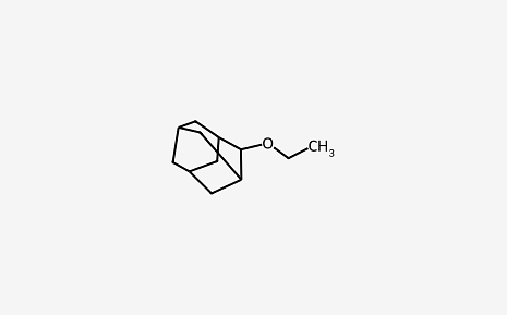 CCOC1C2CC3CC(C2)CC1C3